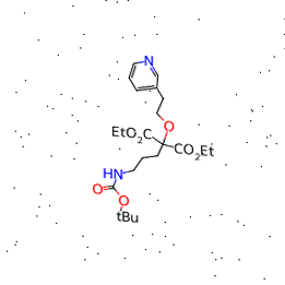 CCOC(=O)C(CCCNC(=O)OC(C)(C)C)(OCCc1cccnc1)C(=O)OCC